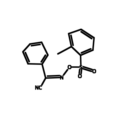 Cc1ccccc1S(=O)(=O)ON=C(C#N)c1ccccc1